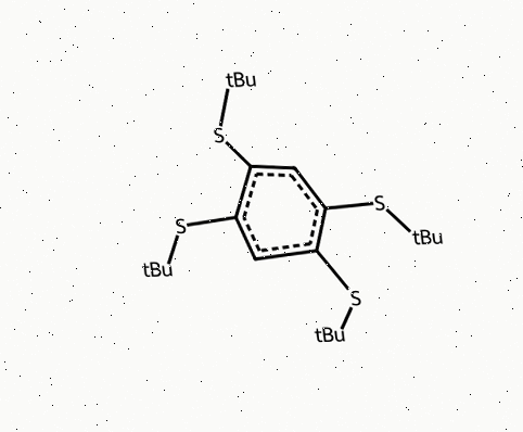 CC(C)(C)Sc1cc(SC(C)(C)C)c(SC(C)(C)C)cc1SC(C)(C)C